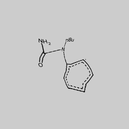 CCCCN(C(N)=O)c1[c]cccc1